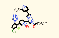 COCC(=O)N(C)CC(c1ccc(-c2c(-n3cnnn3)ccc(Cl)c2F)c[n+]1[O-])n1cc(-c2ccnc(C(F)(F)F)c2)cn1